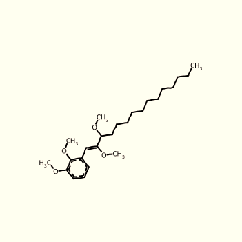 CCCCCCCCCCCCC(OC)C(=Cc1cccc(OC)c1OC)OC